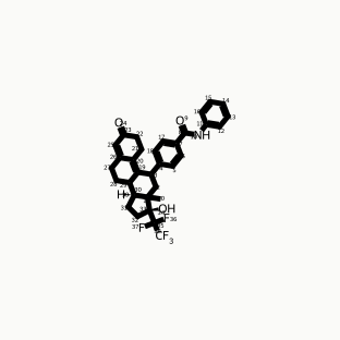 CC12CC(c3ccc(C(=O)Nc4ccccc4)cc3)C3=C4CCC(=O)C=C4CCC3[C@@H]1CC[C@@]2(O)C(F)(F)C(F)(F)F